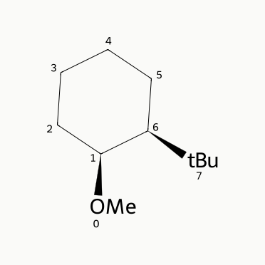 CO[C@H]1CCCC[C@H]1C(C)(C)C